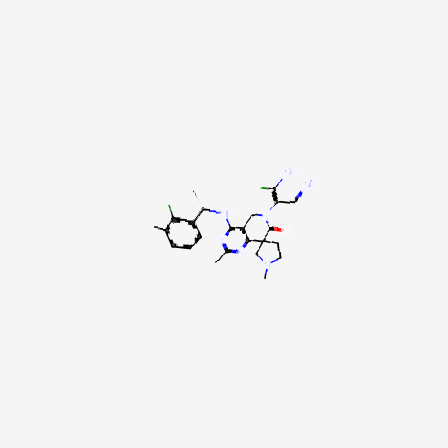 Cc1nc(N[C@H](C)c2cccc(C(F)(F)F)c2F)c2c(n1)C1(CCN(C)C1)C(=O)N(/C(C=N)=C(/N)F)C2